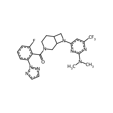 CN(C)c1nc(N2CC3CCN(C(=O)c4c(F)cccc4-n4nccn4)CC32)cc(C(F)(F)F)n1